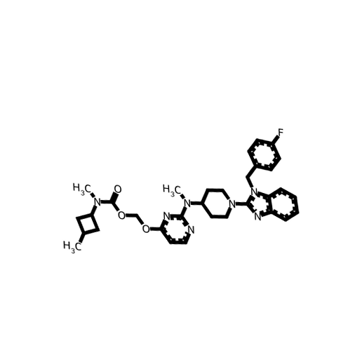 CC1CC(N(C)C(=O)OCOc2ccnc(N(C)C3CCN(c4nc5ccccc5n4Cc4ccc(F)cc4)CC3)n2)C1